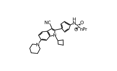 CCCS(=O)(=O)Nc1ccc(-c2c(C#N)c3ccc(N4CCCCC4)cc3n2C2CCC2)cc1